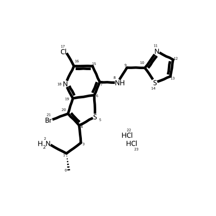 C[C@H](N)Cc1sc2c(NCc3nccs3)cc(Cl)nc2c1Br.Cl.Cl